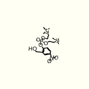 C[Si](C)(C)CCOP(=O)(OCC[Si](C)(C)C)Oc1ccc([N+](=O)[O-])cc1CO